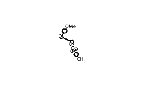 COc1ccc(C2OCC2C#CC2CC[C@@H](COS(=O)(=O)c3ccc(C)cc3)O2)cc1